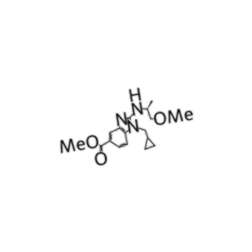 COC[C@H](C)Nc1nc2cc(C(=O)OC)ccc2n1CC1CC1